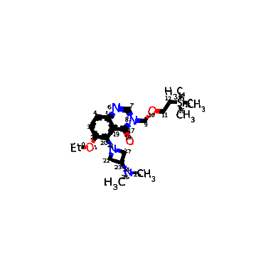 CCOc1ccc2ncn(COCC[Si](C)(C)C)c(=O)c2c1N1CC(N(C)C)C1